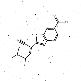 CC(C)C(C)/C=C(\C#N)c1nc2ccc(C(=O)O)cc2s1